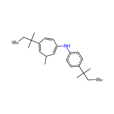 CC1C=C(Nc2ccc(C(C)(C)CC(C)(C)C)cc2)C=CC(C(C)(C)CC(C)(C)C)=C1